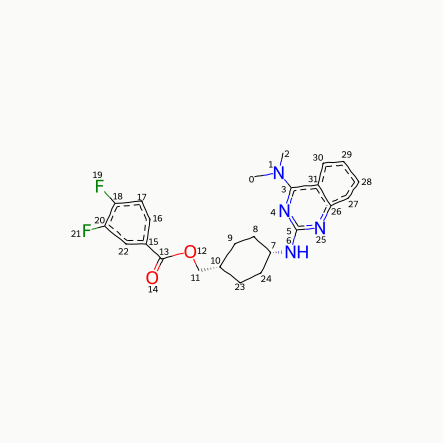 CN(C)c1nc(N[C@H]2CC[C@@H](COC(=O)c3ccc(F)c(F)c3)CC2)nc2ccccc12